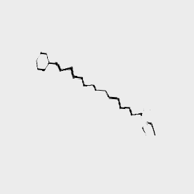 C=CN(C=O)C(=O)CCCCCCCCCCCCCCC1CCCCC1